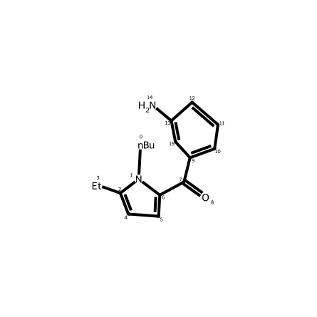 CCCCn1c(CC)ccc1C(=O)c1cccc(N)c1